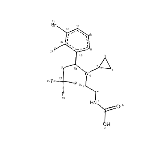 O=C(O)NCCN(C1CC1)C(CC(F)(F)F)c1cccc(Br)c1F